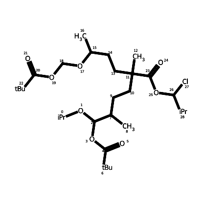 CC(C)OC(OC(=O)C(C)(C)C)C(C)CCC(C)(CCC(C)OCOC(=O)C(C)(C)C)C(=O)OC(Cl)C(C)C